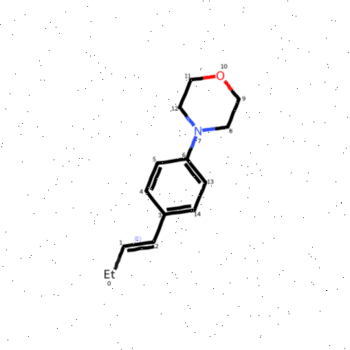 CC/C=C/c1ccc(N2CCOCC2)cc1